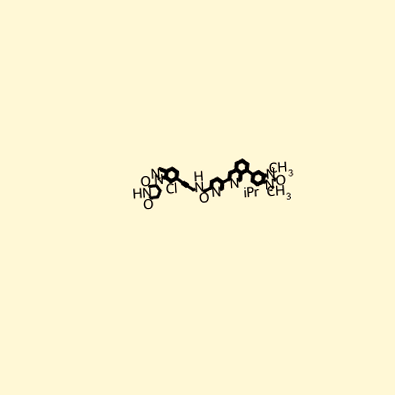 CC(C)c1cc(-c2cccc3cc(-c4ccc(C(=O)NCC#Cc5ccc6cnn(C7CCC(=O)NC7=O)c6c5Cl)nc4)ncc23)cc2c1n(C)c(=O)n2C